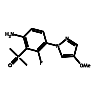 COc1cnn(-c2ccc(N)c(P(C)(C)=O)c2F)c1